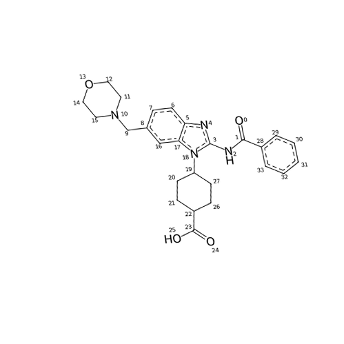 O=C(Nc1nc2ccc(CN3CCOCC3)cc2n1C1CCC(C(=O)O)CC1)c1ccccc1